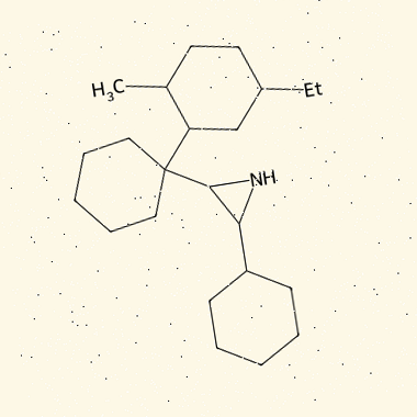 CCC1CCC(C)C(C2(C3NC3C3CCCCC3)CCCCC2)C1